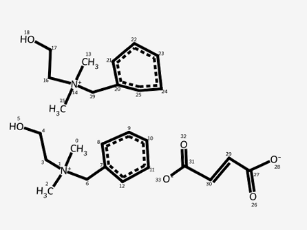 C[N+](C)(CCO)Cc1ccccc1.C[N+](C)(CCO)Cc1ccccc1.O=C([O-])C=CC(=O)[O-]